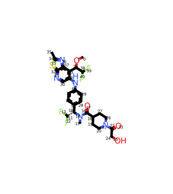 COC(c1c(Nc2ccc([C@@H](C(F)F)N(C)C(=O)C3CCN(C(=O)CO)CC3)cc2)cnc2sc(C)nc12)C(F)F